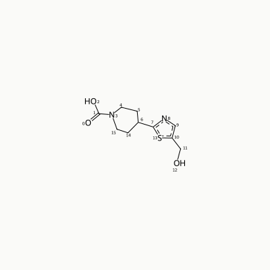 O=C(O)N1CCC(c2ncc(CO)s2)CC1